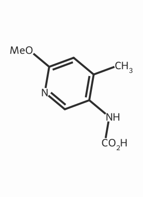 COc1cc(C)c(NC(=O)O)cn1